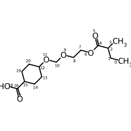 CCC(C)C(=O)OCCOCOC1CCC(C(=O)O)CC1